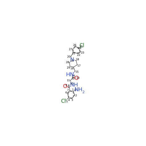 Nc1ccc(Cl)cc1C(=O)NCC(=O)NCC1CCN(Cc2ccc(Cl)cc2)CC1